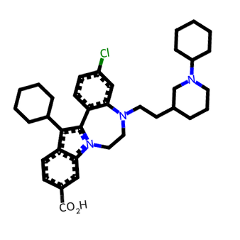 O=C(O)c1ccc2c(C3CCCCC3)c3n(c2c1)CCN(CCC1CCCN(C2CCCCC2)C1)c1cc(Cl)ccc1-3